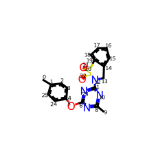 Cc1ccc(Oc2nc(C)nc(N3Cc4ccccc4S3(=O)=O)n2)cc1